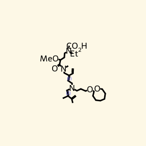 C=C/C(=C\CN(/C=C(/C)C(=C)C)CCCOC1CCCCCCO1)CN(C)C(=O)C(CCN(CC)C(=O)O)OC